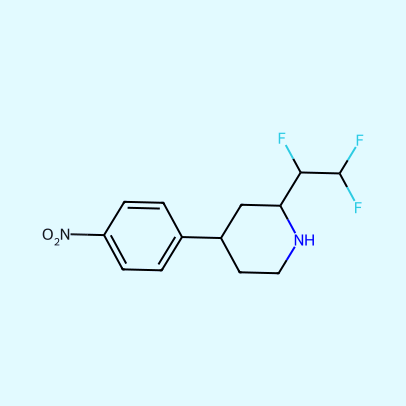 O=[N+]([O-])c1ccc(C2CCNC(C(F)C(F)F)C2)cc1